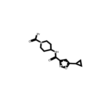 CC(C)C(=O)N1CCC(NC(=O)c2cc(C3CC3)on2)CC1